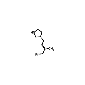 C/C(CC(C)C)=N\C[C@@H]1CCNC1